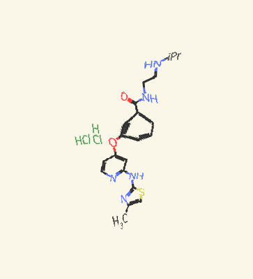 Cc1csc(Nc2cc(Oc3cccc(C(=O)NCCNC(C)C)c3)ccn2)n1.Cl.Cl